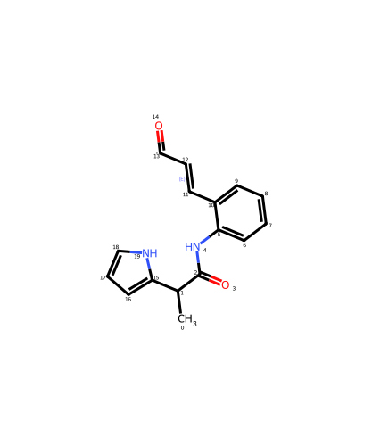 CC(C(=O)Nc1ccccc1/C=C/[C]=O)c1ccc[nH]1